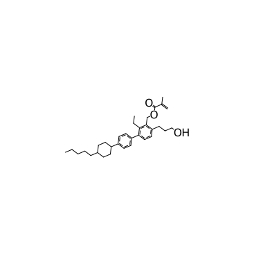 C=C(C)C(=O)OCc1c(CCCO)ccc(-c2ccc(C3CCC(CCCCC)CC3)cc2)c1CC